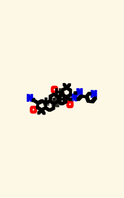 CC1(C)CC[C@]2(C(=O)n3cnc(-c4cccnc4)c3)CC[C@]3(C)[C@H](C(=O)C=C4[C@@]5(C)C=C(C#N)C(=O)C(C)(C)C5CC[C@]43C)[C@@H]2C1